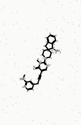 CNc1cc(CC#Cc2cnc(N3CCC4(CC3)Cc3ccccc3[C@H]4N)n(C)c2=O)ccn1